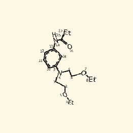 CCOCCN(CCOCC)c1cccc(NC(=O)CC)c1